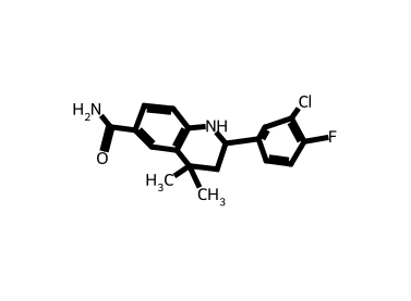 CC1(C)CC(c2ccc(F)c(Cl)c2)Nc2ccc(C(N)=O)cc21